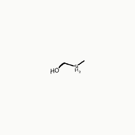 C[SiH2]CO